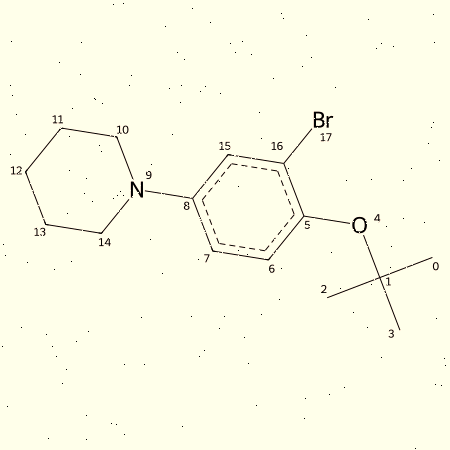 CC(C)(C)Oc1ccc(N2CCCCC2)cc1Br